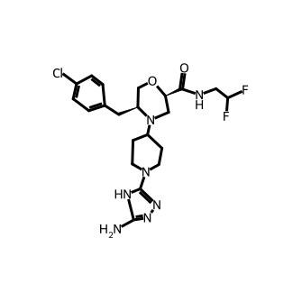 Nc1nnc(N2CCC(N3C[C@H](C(=O)NCC(F)F)OC[C@@H]3Cc3ccc(Cl)cc3)CC2)[nH]1